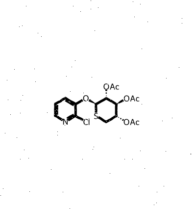 CC(=O)O[C@@H]1[C@@H](OC(C)=O)[C@H](OC(C)=O)CS[C@H]1Oc1cccnc1Cl